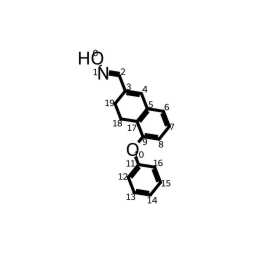 O/N=C/C1=Cc2cccc(Oc3ccccc3)c2CC1